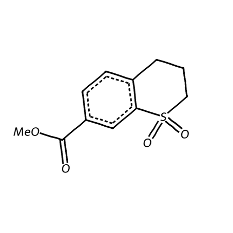 COC(=O)c1ccc2c(c1)S(=O)(=O)CCC2